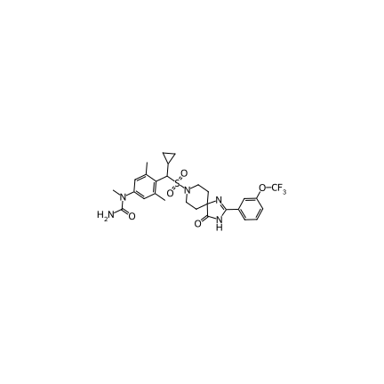 Cc1cc(N(C)C(N)=O)cc(C)c1C(C1CC1)S(=O)(=O)N1CCC2(CC1)N=C(c1cccc(OC(F)(F)F)c1)NC2=O